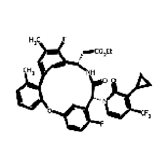 CCOC(=O)C[C@@H]1NC(=O)[C@H](n2ccc(C(F)(F)F)c(C3CC3)c2=O)c2cc(ccc2F)Oc2cccc(C)c2-c2cc(C)c(F)c1c2